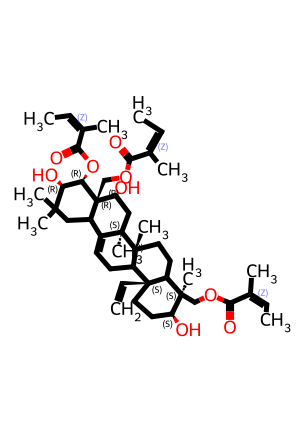 C=C[C@]12CC[C@H](O)[C@](C)(COC(=O)/C(C)=C\C)C1CC[C@]1(C)C2CC=C2C3CC(C)(C)[C@@H](O)[C@H](OC(=O)/C(C)=C\C)[C@]3(COC(=O)/C(C)=C\C)[C@H](O)C[C@]21C